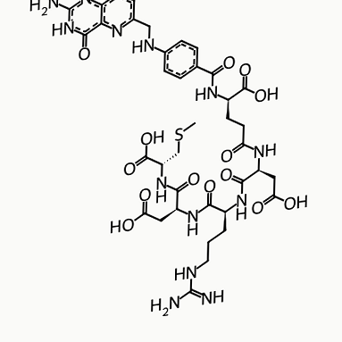 CSC[C@H](NC(=O)[C@H](CC(=O)O)NC(=O)[C@H](CCCNC(=N)N)NC(=O)[C@H](CC(=O)O)NC(=O)CC[C@@H](NC(=O)c1ccc(NCc2cnc3nc(N)[nH]c(=O)c3n2)cc1)C(=O)O)C(=O)O